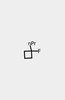 CCCC1(F)CCC1